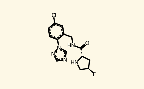 O=C(NCc1cc(Cl)ccc1-n1cncn1)[C@@H]1C[C@@H](F)CN1